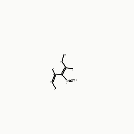 C/C=C(C)\C(N=O)=C(\C)CC